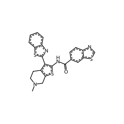 CN1CCc2c(sc(NC(=O)c3ccc4ncsc4c3)c2-c2nc3ccccc3s2)C1